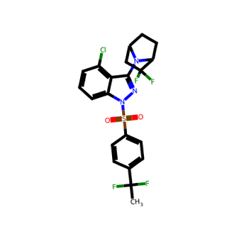 CC(F)(F)c1ccc(S(=O)(=O)n2nc(N3C4CCC3C(F)(F)C4)c3c(Cl)cccc32)cc1